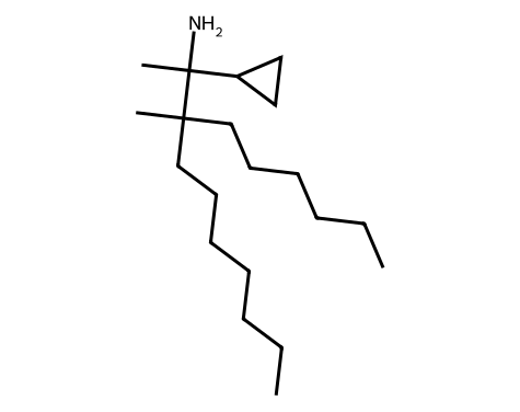 CCCCCCCC(C)(CCCCCC)C(C)(N)C1CC1